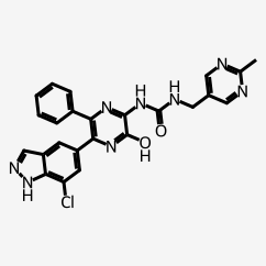 Cc1ncc(CNC(=O)Nc2nc(-c3ccccc3)c(-c3cc(Cl)c4[nH]ncc4c3)nc2O)cn1